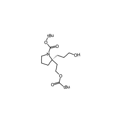 CC(C)(C)OC(=O)N1CCC[C@]1(CCCO)CCOC(=O)C(C)(C)C